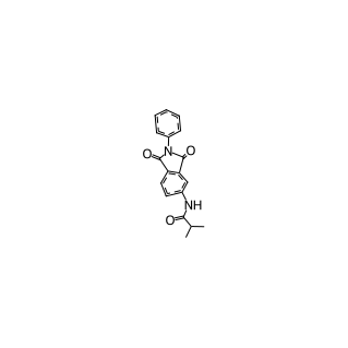 CC(C)C(=O)Nc1ccc2c(c1)C(=O)N(c1ccccc1)C2=O